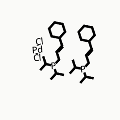 CC(C)P(CC=CC1CCCCC1)C(C)C.CC(C)P(CC=CC1CCCCC1)C(C)C.[Cl][Pd][Cl]